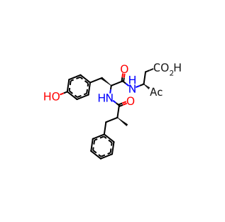 CC(=O)[C@H](CC(=O)O)NC(=O)[C@H](Cc1ccc(O)cc1)NC(=O)[C@@H](C)Cc1ccccc1